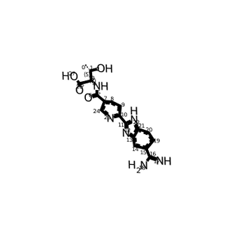 C[C@H](O)[C@@H](NC(=O)c1ccc(-c2nc3cc(C(=N)N)ccc3[nH]2)nc1)C(=O)O